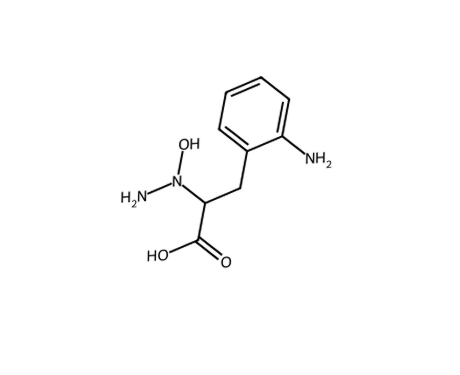 Nc1ccccc1CC(C(=O)O)N(N)O